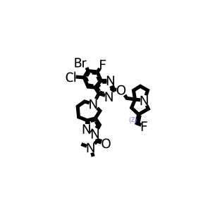 CN(C)C(=O)n1cc2c(n1)CCCN(c1nc(OCC34CCCN3C/C(=C\F)C4)nc3c(F)c(Br)c(Cl)cc13)C2